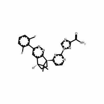 CC1(C)[C@H]2CC[C@@]1(c1ccnc(-n3cnc(C(N)=O)n3)n1)c1nnc(-c3c(F)cccc3F)cc12